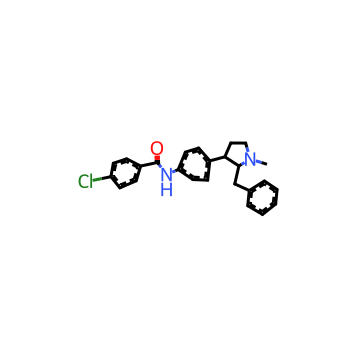 CN1CCC(c2ccc(NC(=O)c3ccc(Cl)cc3)cc2)C1Cc1ccccc1